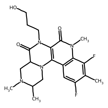 Cc1c(F)cc2c3c(c(=O)n(C)c2c1F)N(CCCO)C(=O)C1CN(C)C(C)CN31